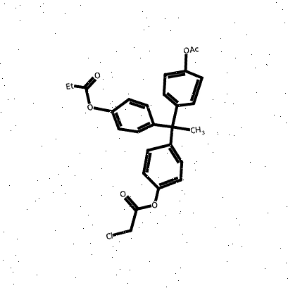 CCC(=O)Oc1ccc(C(C)(c2ccc(OC(C)=O)cc2)c2ccc(OC(=O)CCl)cc2)cc1